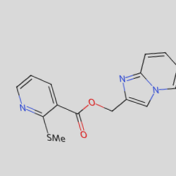 CSc1ncccc1C(=O)OCc1cn2ccccc2n1